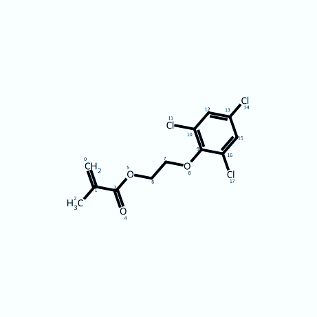 C=C(C)C(=O)OCCOc1c(Cl)cc(Cl)cc1Cl